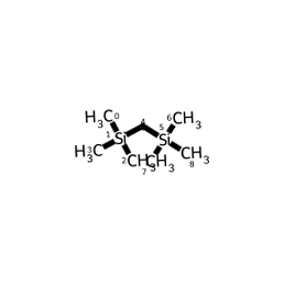 C[Si](C)(C)[CH][Si](C)(C)C